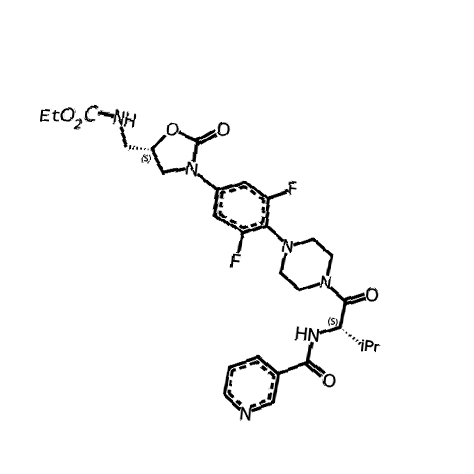 CCOC(=O)NC[C@H]1CN(c2cc(F)c(N3CCN(C(=O)[C@@H](NC(=O)c4cccnc4)C(C)C)CC3)c(F)c2)C(=O)O1